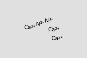 [Ca+2].[Ca+2].[Ca+2].[N-3].[N-3]